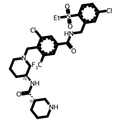 CCS(=O)(=O)c1ccc(Cl)cc1CNC(=O)c1cc(Cl)c(CN2CCC[C@H](NC(=O)[C@H]3CCCNC3)C2)c(C(F)(F)F)c1